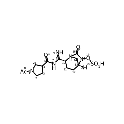 CC(=O)N1CCC(C(=O)NC(=N)[C@@H]2CC[C@@H]3CN2C(=O)N3OS(=O)(=O)O)C1